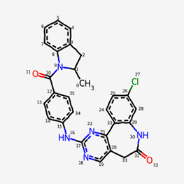 CC1Cc2ccccc2N1C(=O)c1ccc(Nc2ncc3c(n2)-c2ccc(Cl)cc2NC(=O)C3)cc1